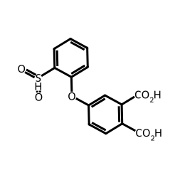 O=C(O)c1ccc(Oc2ccccc2[SH](=O)=O)cc1C(=O)O